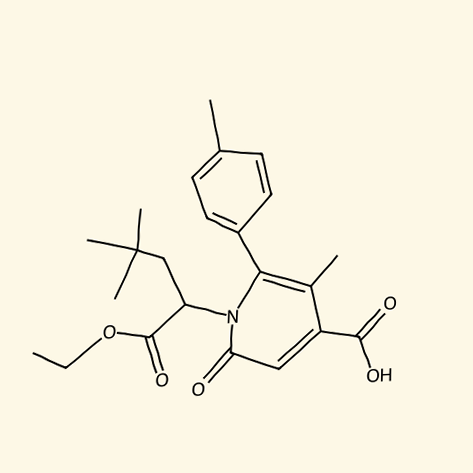 CCOC(=O)C(CC(C)(C)C)n1c(-c2ccc(C)cc2)c(C)c(C(=O)O)cc1=O